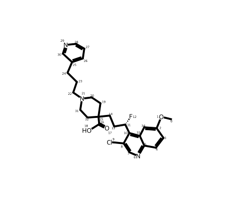 COc1ccc2ncc(Cl)c([C@@H](F)CCC3(C(=O)O)CCN(CCCc4cccnc4)CC3)c2c1